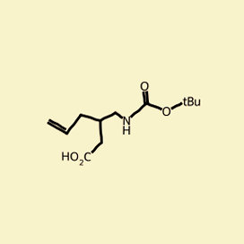 C=CCC(CNC(=O)OC(C)(C)C)CC(=O)O